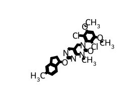 COc1cc(OC)c(Cl)c(N2Cc3cnc(OC4CCc5cc(C)ccc54)nc3N(C)C2=O)c1Cl